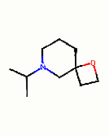 CC(C)N1CCC[C@@]2(CCO2)C1